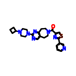 O=C(c1csc(-c2cccnc2)n1)N1CCc2cnc(N3CCN(C4CCC4)CC3)nc2CC1